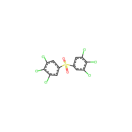 O=S(=O)(c1cc(Cl)c(Cl)c(Cl)c1)c1cc(Cl)c(Cl)c(Cl)c1